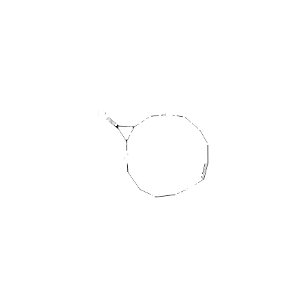 O=C1C2CCCCCC=CCCCCCCC12